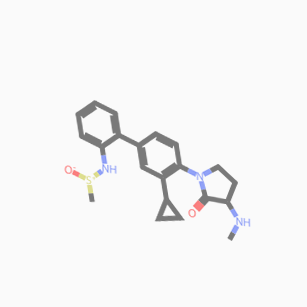 CNC1CCN(c2ccc(-c3ccccc3N[S+](C)[O-])cc2C2CC2)C1=O